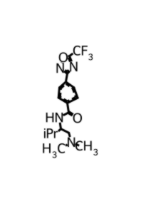 CC(C)C(CN(C)C)NC(=O)c1ccc(-c2noc(C(F)(F)F)n2)cc1